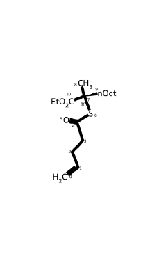 C=CCCC(=O)S[C@](C)(CCCCCCCC)C(=O)OCC